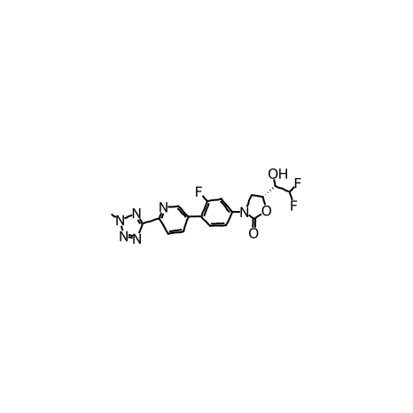 Cn1nnc(-c2ccc(-c3ccc(N4C[C@H](C(O)C(F)F)OC4=O)cc3F)cn2)n1